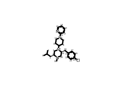 CC(C)C[C@H]1CN(C2CCN(c3ccccn3)CC2)[C@@H](Cc2ccc(Cl)cc2)CN1C